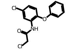 O=C(CCl)Nc1cc(Cl)ccc1Oc1ccccc1